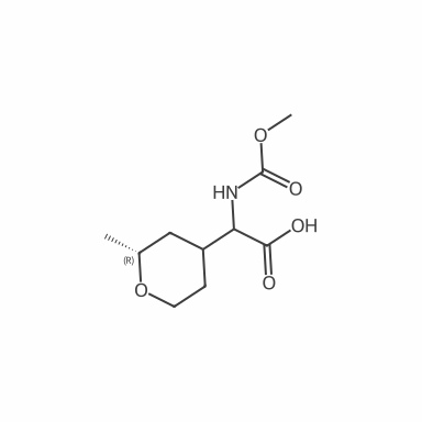 COC(=O)NC(C(=O)O)C1CCO[C@H](C)C1